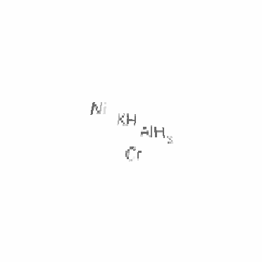 [AlH3].[Cr].[KH].[Ni]